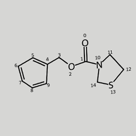 O=C(OCc1ccccc1)N1CCSC1